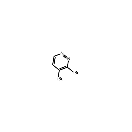 CCC(C)c1ccnnc1C(C)CC